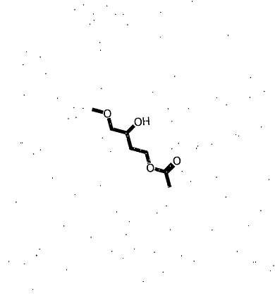 COCC(O)CCOC(C)=O